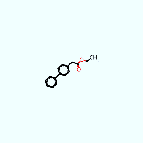 CCOC(=O)Cc1ccc(-c2c[c]ccc2)cc1